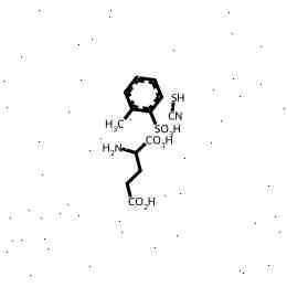 Cc1ccccc1S(=O)(=O)O.N#CS.NC(CCC(=O)O)C(=O)O